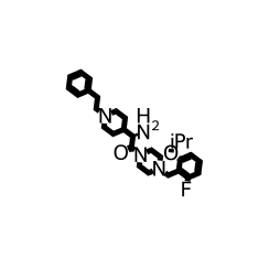 CC(C)Oc1cccc(F)c1CN1CCN(C(=O)[C@H](N)C2CCN(CCc3ccccc3)CC2)CC1